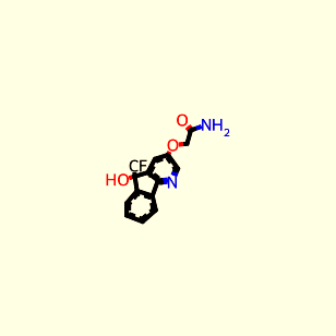 NC(=O)COc1cnc2c(c1)C(O)(C(F)(F)F)c1ccccc1-2